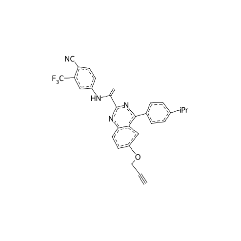 C#CCOc1ccc2nc(C(=C)Nc3ccc(C#N)c(C(F)(F)F)c3)nc(-c3ccc(C(C)C)cc3)c2c1